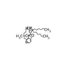 CCCCCCC(C)(CCCCCC)OC(=O)Cc1cccbc1CC(C)(C)CCCC